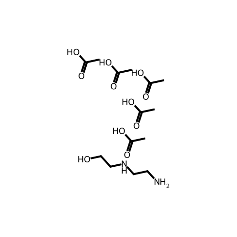 CC(=O)O.CC(=O)O.CC(=O)O.CC(=O)O.CC(=O)O.NCCNCCO